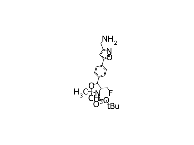 CC(C)(C)OC(=O)N1C(CF)C(c2ccc(-c3cc(CN)no3)cc2)OC1(C)C